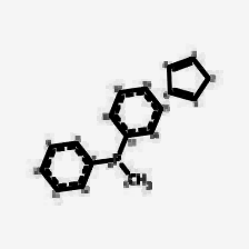 C1=CCC=C1.CP(c1ccccc1)c1ccccc1